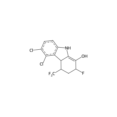 OC1=C2Nc3ccc(Cl)c(Cl)c3C2C(C(F)(F)F)CC1F